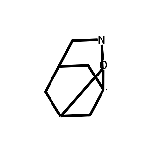 C1[C]2CC3CC1CN(C3)O2